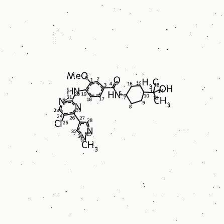 COc1cc(C(=O)NC2CCC(C(C)(C)O)CC2)ccc1Nc1ncc(Cl)c(-c2cnn(C)c2)n1